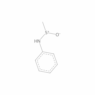 C[S+]([O-])Nc1ccccc1